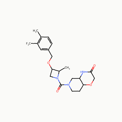 Cc1ccc(COC2CN(C(=O)N3CCC4OCC(=O)NC4C3)C2C)cc1C(F)(F)F